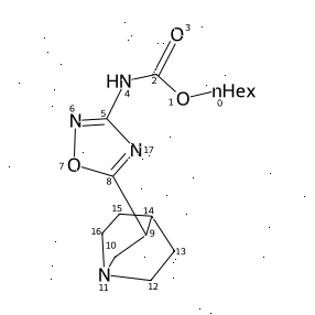 CCCCCCOC(=O)Nc1noc(C2CN3CCC2CC3)n1